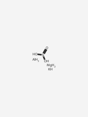 O=[Si](O)O.[AlH3].[KH].[MgH2]